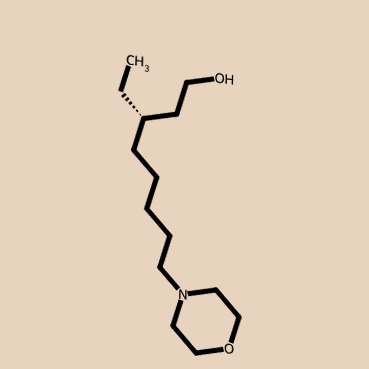 CC[C@H](CCO)CCCCCN1CCOCC1